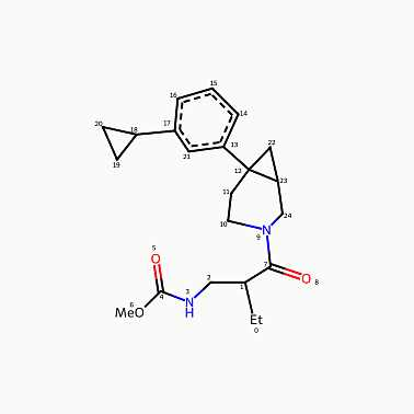 CCC(CNC(=O)OC)C(=O)N1CCC2(c3cccc(C4CC4)c3)CC2C1